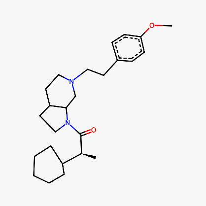 COc1ccc(CCN2CCC3CCN(C(=O)[C@@H](C)C4CCCCC4)C3C2)cc1